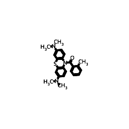 Cc1ccccc1C(=O)N1c2ccc(N(C)C)cc2Sc2cc(N(C)C)ccc21